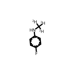 [2H]C([2H])([2H])Nc1ccc(F)cc1